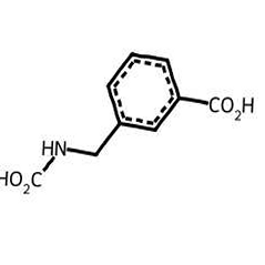 O=C(O)NCc1cccc(C(=O)O)c1